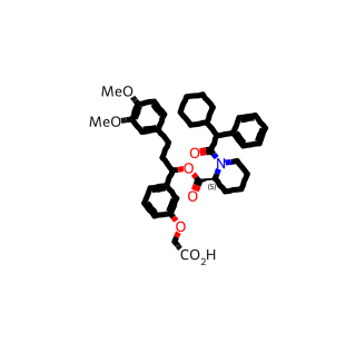 COc1ccc(CCC(OC(=O)[C@@H]2CCCCN2C(=O)C(c2ccccc2)C2CCCCC2)c2cccc(OCC(=O)O)c2)cc1OC